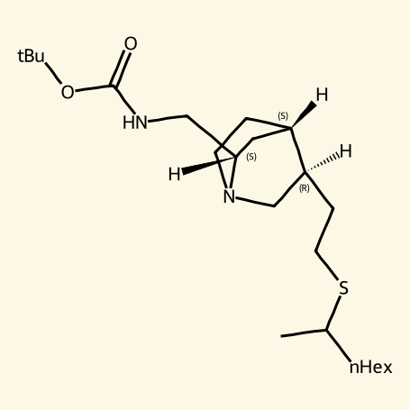 CCCCCCC(C)SCC[C@H]1CN2CC[C@H]1C[C@H]2CNC(=O)OC(C)(C)C